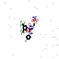 CN(C(=O)Oc1c(-n2ccn(CCOS(=O)(=O)N(C)C)c2=O)cc(C(F)(F)F)cc1C(F)(F)F)c1ccc(F)cc1